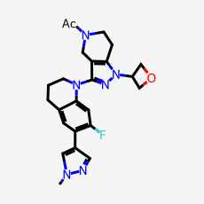 CC(=O)N1CCc2c(c(N3CCCc4cc(-c5cnn(C)c5)c(F)cc43)nn2C2COC2)C1